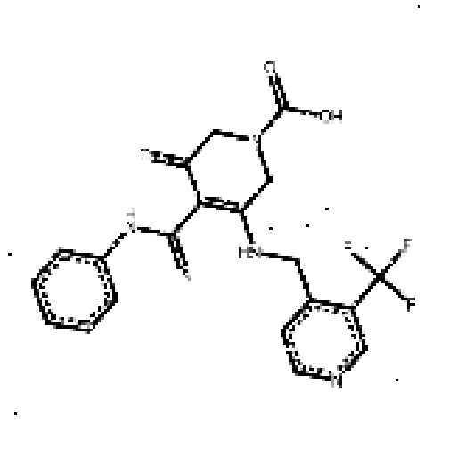 O=C1CN(C(=O)O)CC(NCc2ccncc2C(F)(F)F)=C1C(=S)Nc1ccccc1